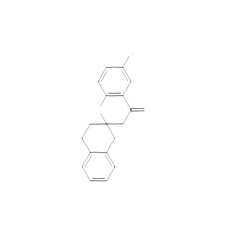 O=C1CC2(CCc3ccccc3C2)Oc2ccc(Br)cc21